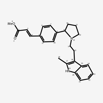 COC(=O)C=Cc1ccc(C2CCCN2CCc2c(C)[nH]c3ccccc23)cc1